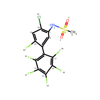 CS(=O)(=O)Nc1cc(-c2c(F)c(F)c(F)c(F)c2F)c(F)cc1Cl